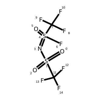 O=S(=O)(N=S(=O)(F)C(F)(F)F)C(F)(F)F